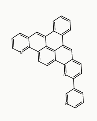 c1cncc(-c2ccc3cc4c5ccccc5c5cc6cccnc6c6ccc(c3n2)c4c56)c1